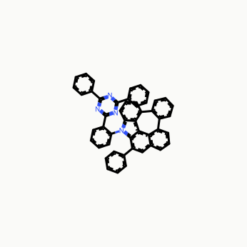 c1ccc(-c2nc(-c3ccccc3)nc(-c3ccccc3-n3c4cccc5c4c4c6c(cccc6cc(-c6ccccc6)c43)-c3ccccc3-5)n2)cc1